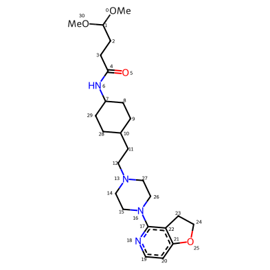 COC(CCC(=O)NC1CCC(CCN2CCN(c3nccc4c3CCO4)CC2)CC1)OC